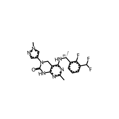 Cc1nc2c(c(N[C@H](C)c3cccc(C(F)F)c3F)n1)CN(c1cnn(C)c1)C(=O)N2